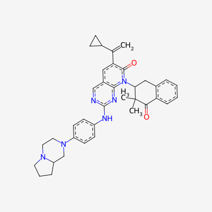 C=C(c1cc2cnc(Nc3ccc(N4CCN5CCCC5C4)cc3)nc2n(C2Cc3ccccc3C(=O)C2(C)C)c1=O)C1CC1